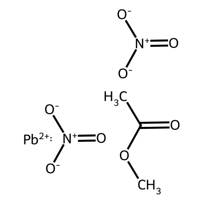 COC(C)=O.O=[N+]([O-])[O-].O=[N+]([O-])[O-].[Pb+2]